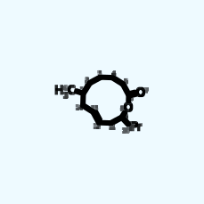 CC1[CH]CCCC(=O)OC(C(C)C)C/C=C/C1